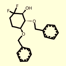 O[C@H]1[C@H](OCc2ccccc2)[C@@H](OCc2ccccc2)CCC1(F)F